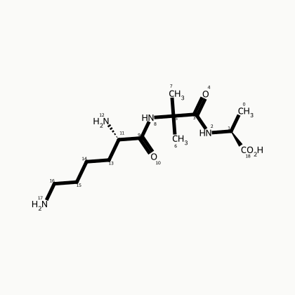 C[C@H](NC(=O)C(C)(C)NC(=O)[C@@H](N)CCCCN)C(=O)O